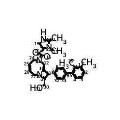 Cc1cccc(-c2ccc([C@H]3C4CN(S(=O)(=O)C5CNC(C)N5C)C/C=C\CN4[C@@H]3CO)cc2)c1C